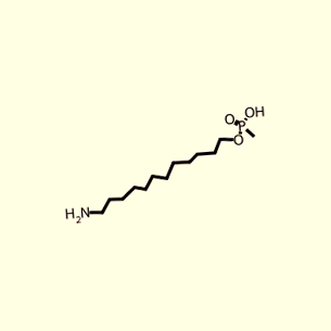 CP(=O)(O)OCCCCCCCCCCCCN